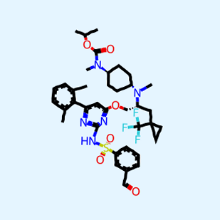 Cc1cccc(C)c1-c1cc(OC[C@@H](CC2(C(F)(F)F)CC2)N(C)[C@H]2CC[C@H](N(C)C(=O)OC(C)C)CC2)nc(NS(=O)(=O)c2cccc(C=O)c2)n1